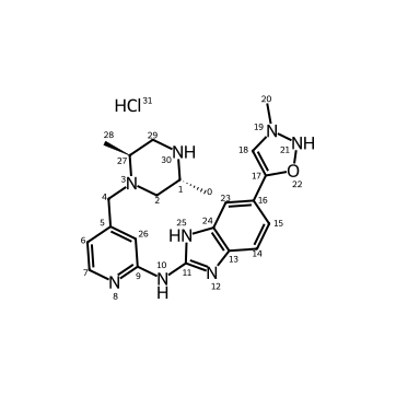 C[C@@H]1CN(Cc2ccnc(Nc3nc4ccc(C5=CN(C)NO5)cc4[nH]3)c2)[C@@H](C)CN1.Cl